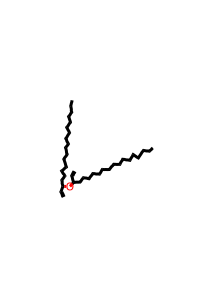 C=CC(CCCCCCCCCCCCCCCC)OC(C=C)CCCCCCCCCCCCCCCC